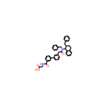 O=C(O)CNC(=O)c1cccc(-c2cccc(CC(=O)N(Cc3ccccc3)C3c4ccccc4CCC3Cc3ccccc3)c2)c1